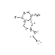 N#Cc1ccc(F)c2ccc(OSC(F)(F)F)nc12